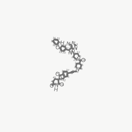 Nc1ncnc2c1c(-c1ccc(Oc3ccccc3)cc1)nn2C1CCN(C(=O)C2CCN(CC#Cc3ccc4c(c3)CN(C3CCC(=O)NC3=O)C4=O)CC2)CC1